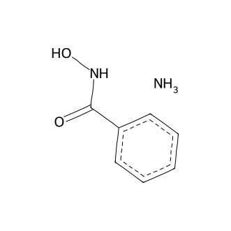 N.O=C(NO)c1ccccc1